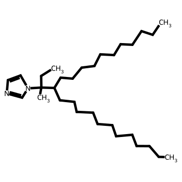 CCCCCCCCCCCCC(CCCCCCCCCCC)C(C)(CC)n1ccnc1